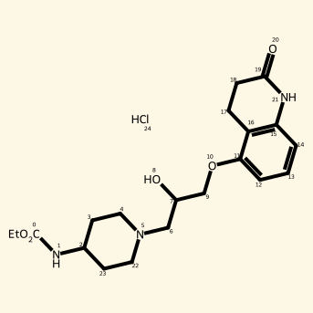 CCOC(=O)NC1CCN(CC(O)COc2cccc3c2CCC(=O)N3)CC1.Cl